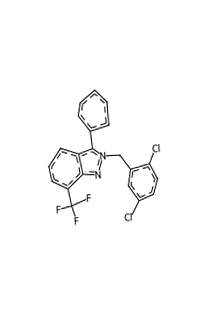 FC(F)(F)c1cccc2c(-c3ccccc3)n(Cc3cc(Cl)ccc3Cl)nc12